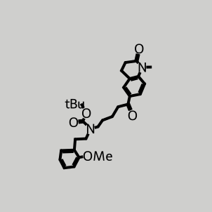 COc1ccccc1CCN(CCCCC(=O)c1ccc2c(c1)CCC(=O)N2C)C(=O)OC(C)(C)C